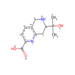 CC(C)(O)C1Cc2nc(C(=O)O)ccc2CN1